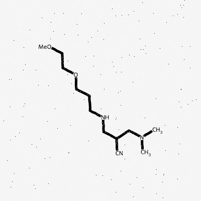 COCCOCCCNCC(C#N)CN(C)C